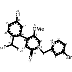 COc1cn(Cc2cc(Br)ccn2)c(=O)cc1-c1cc(Cl)ccc1C(F)F